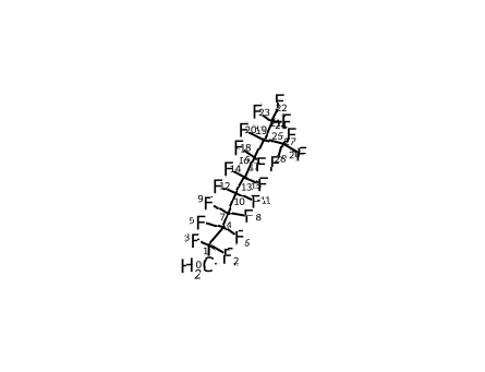 [CH2]C(F)(F)C(F)(F)C(F)(F)C(F)(F)C(F)(F)C(F)(F)C(F)(C(F)(F)F)C(F)(F)F